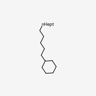 CCCCCCCCCCCC[C]1CCCCC1